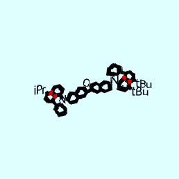 CC(C)c1ccc(-c2ccccc2N(c2ccccc2)c2ccc3cc4c(cc3c2)oc2cc3cc(N(c5ccc(C(C)(C)C)cc5)c5ccccc5-c5ccc(C(C)(C)C)cc5)ccc3cc24)cc1